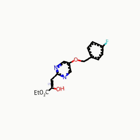 CCOC(=O)/C(O)=C/c1ncc(OCc2ccc(F)cc2)cn1